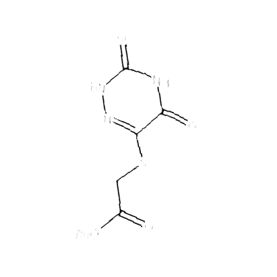 CC(C)COC(=O)CSc1n[nH]c(=O)[nH]c1=O